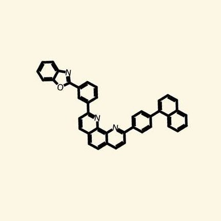 c1cc(-c2ccc3ccc4ccc(-c5ccc(-c6cccc7ccccc67)cc5)nc4c3n2)cc(-c2nc3ccccc3o2)c1